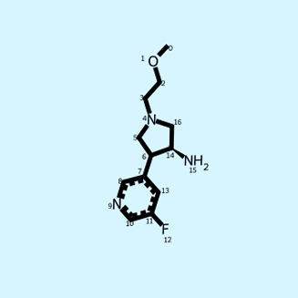 COCCN1CC(c2cncc(F)c2)[C@H](N)C1